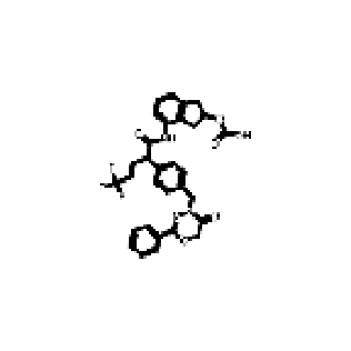 O=C(O)OC1Cc2cccc(NC(=O)C(CCC(F)(F)F)c3ccc(CN4N=C(c5ccccc5)OCC4=O)cc3)c2C1